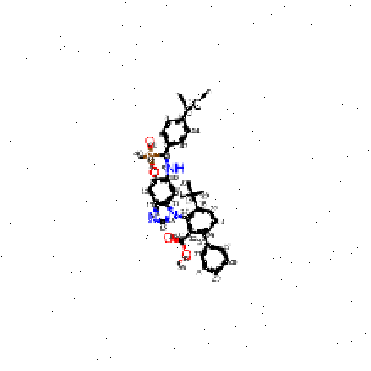 CCC(C)c1ccc(C(Nc2ccc3ncn(-c4c(C(C)(C)C)ccc(-c5ccccc5)c4C(=O)OC)c3c2)S(C)(=O)=O)cc1